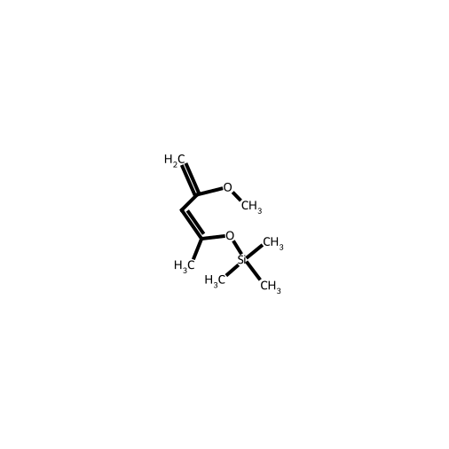 C=C(C=C(C)O[Si](C)(C)C)OC